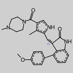 COc1ccc(-c2cccc3c2/C(=C/c2[nH]cc(C(=O)N4CCN(C)CC4)c2C)C(=O)N3)cc1